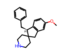 COc1ccc2c(c1)CC1(CCNCC1)[C@H]2Cc1ccccc1